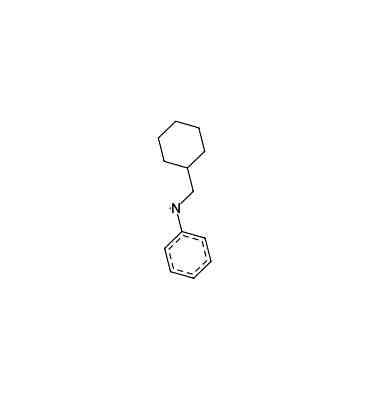 c1ccc([N]CC2CCCCC2)cc1